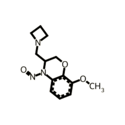 COc1cccc2c1OCC(CN1CCC1)N2N=O